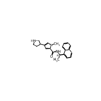 C[C@@H](NC(=O)c1cc(C2CCNC2)cn1C)c1cccc2ccccc12